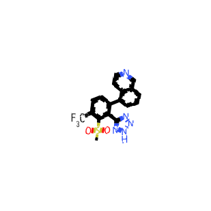 CS(=O)(=O)c1c(C(F)(F)F)ccc(-c2cccc3cnccc23)c1-c1nn[nH]n1